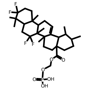 CC1CCC2(C(=O)OCOP(=O)(O)O)CCC3(C)C(=CCC4C5(C)CCC(F)(F)C(C)(C)C5CC(F)(F)C43C)C2C1C